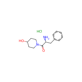 Cl.N[C@@H](Cc1ccccc1)C(=O)N1CCC(O)CC1